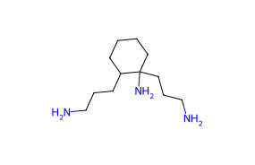 NCCCC1CCCCC1(N)CCCN